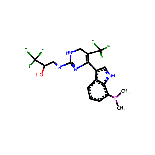 CP(C)c1cccc2c(C3=C(C(F)(F)F)CNC(NCC(O)C(F)(F)F)=N3)c[nH]c12